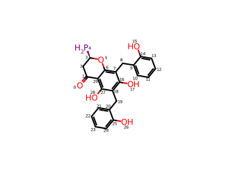 O=C1C[C@@H](P)Oc2c(Cc3ccccc3O)c(O)c(Cc3ccccc3O)c(O)c21